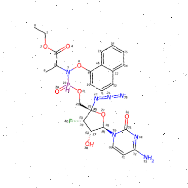 CCOC(=O)C(C)N(Oc1cccc2ccccc12)[PH](=O)OC[C@@]1(N=[N+]=[N-])O[C@@H](n2ccc(N)nc2=O)[C@H](O)[C@@H]1F